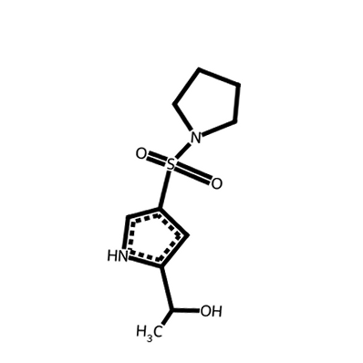 CC(O)c1cc(S(=O)(=O)N2CCCC2)c[nH]1